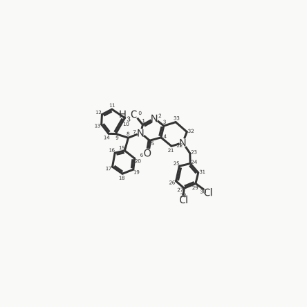 Cc1nc2c(c(=O)n1C(c1ccccc1)c1ccccc1)CN(Cc1ccc(Cl)c(Cl)c1)CC2